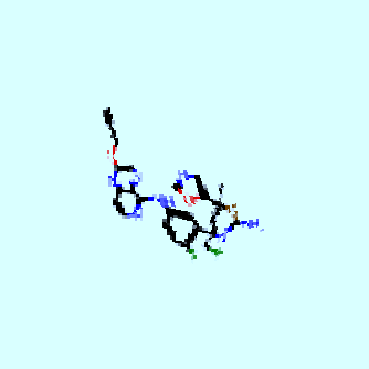 C#CCOc1cnc2c(Nc3ccc(F)c([C@]4(CF)C[C@](C)(c5cnco5)SC(N)=N4)c3)nccc2n1